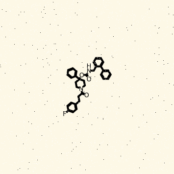 O=C(NCc1ccccc1-c1ccccc1)OC1(c2ccccc2)CCN(C(=O)CCc2ccc(F)cc2)CC1